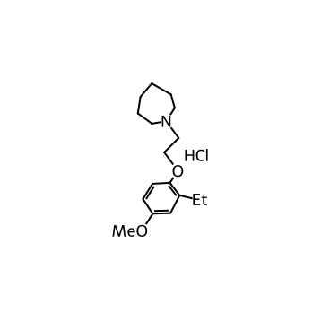 CCc1cc(OC)ccc1OCCN1CCCCCC1.Cl